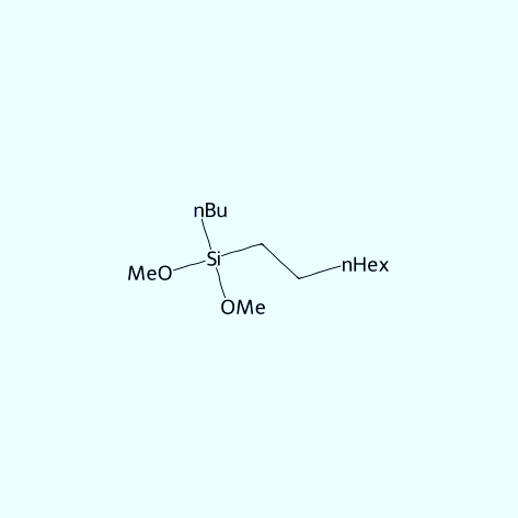 CCCCCCCC[Si](CCCC)(OC)OC